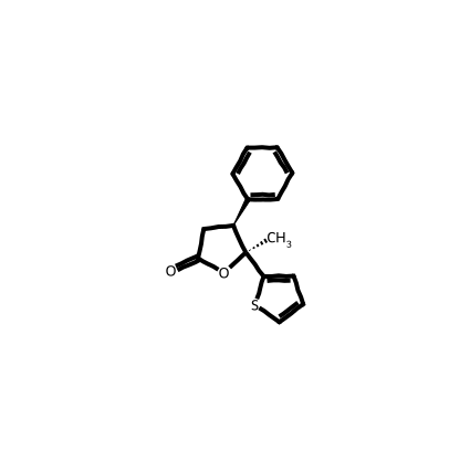 C[C@]1(c2cccs2)OC(=O)C[C@H]1c1ccccc1